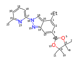 CCc1cc(B2OC(C)(C)C(C)(C)O2)cc2nn(-c3cccc(C)n3)cc12